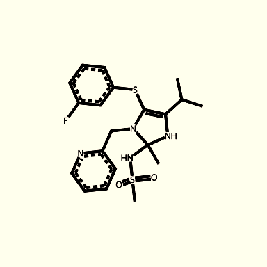 CC(C)C1=C(Sc2cccc(F)c2)N(Cc2ccccn2)C(C)(NS(C)(=O)=O)N1